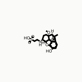 CO[C@@]12CC[C@H](NCCS(=O)(=O)O)[C@@H]3Oc4c(O)ccc5c4[C@@]31CCN(C)[C@@H]2C5